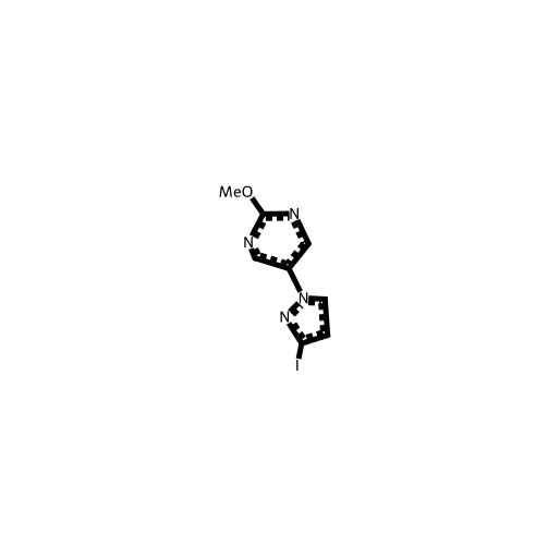 COc1ncc(-n2ccc(I)n2)cn1